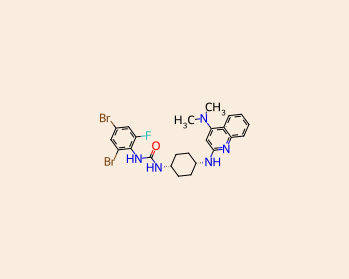 CN(C)c1cc(N[C@H]2CC[C@@H](NC(=O)Nc3c(F)cc(Br)cc3Br)CC2)nc2ccccc12